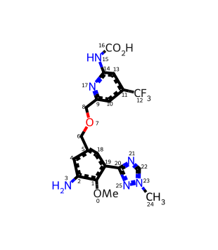 COc1c(N)cc(COCc2cc(C(F)(F)F)cc(NC(=O)O)n2)cc1-c1ncn(C)n1